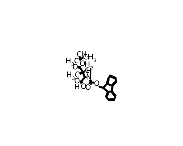 CC(C)(C)OC(=O)C(C)(C)C(NC(=O)OCC1c2ccccc2-c2ccccc21)C(=O)O